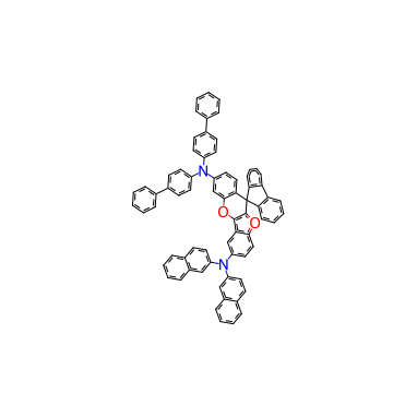 c1ccc(-c2ccc(N(c3ccc(-c4ccccc4)cc3)c3ccc4c(c3)Oc3c(oc5ccc(N(c6ccc7ccccc7c6)c6ccc7ccccc7c6)cc35)C43c4ccccc4-c4ccccc43)cc2)cc1